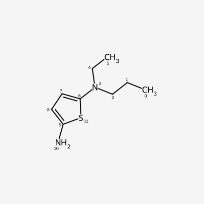 CCCN(CC)c1ccc(N)s1